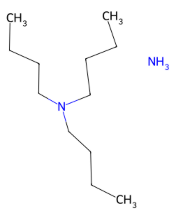 CCCCN(CCCC)CCCC.N